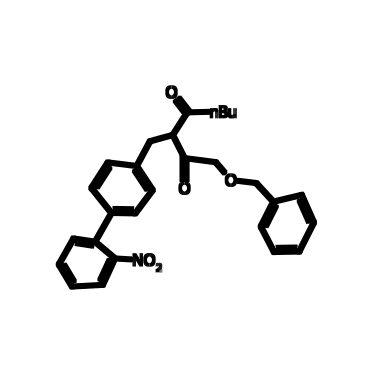 CCCCC(=O)C(Cc1ccc(-c2ccccc2[N+](=O)[O-])cc1)C(=O)COCc1ccccc1